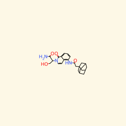 NC(=O)C(CO)n1ccc2c(NC(=O)CC34CC5CC(CC(C5)C3)C4)cccc2c1=O